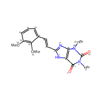 CCCn1c(=O)c2[nH]c(C=Cc3cccc(OC)c3OC)nc2n(CCC)c1=O